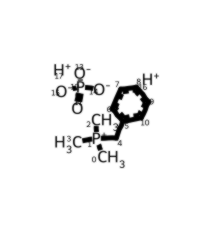 C[P+](C)(C)Cc1ccccc1.O=P([O-])([O-])[O-].[H+].[H+]